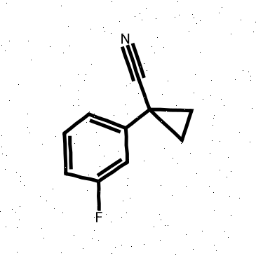 N#CC1(c2cccc(F)c2)CC1